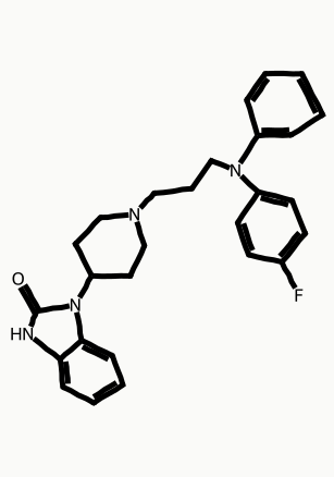 O=c1[nH]c2ccccc2n1C1CCN(CCCN(c2ccccc2)c2ccc(F)cc2)CC1